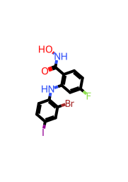 O=C(NO)c1ccc(F)cc1Nc1ccc(I)cc1Br